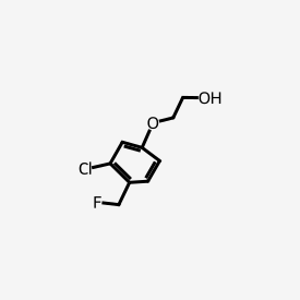 OCCOc1ccc(CF)c(Cl)c1